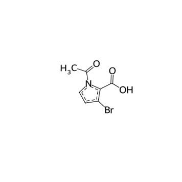 CC(=O)n1ccc(Br)c1C(=O)O